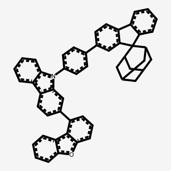 c1ccc2c(c1)-c1ccc(-c3ccc(-n4c5ccccc5c5ccc(-c6cccc7oc8ccccc8c67)cc54)cc3)cc1C21C2CC3CC(C2)CC1C3